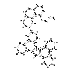 C/C=C\c1cccc2ccc3ccc(-c4ccc5c(c4)c4ccccc4c4nc6c7ccccc7c7ccccc7c6n54)cc3c12